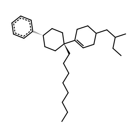 CCCCCCCC[C@]1(C2=CCC(CC(C)CC)CC2)CC[C@@H](c2ccccc2)CC1